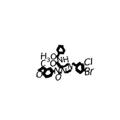 Cc1coc2ccc(-n3c(C(=O)NC(=O)c4ccccc4)c4n(c3=O)CCN(Cc3ccc(Br)c(Cl)c3)C4)cc12